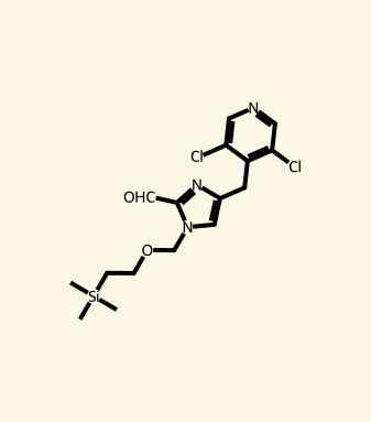 C[Si](C)(C)CCOCn1cc(Cc2c(Cl)cncc2Cl)nc1C=O